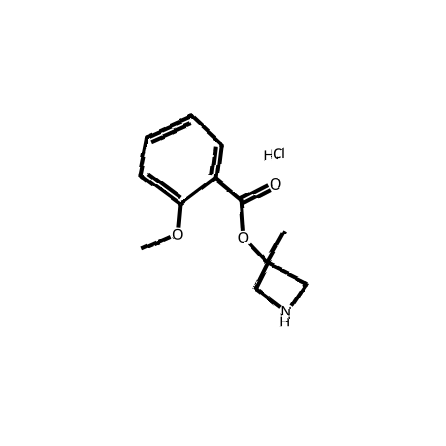 COc1ccccc1C(=O)OC1(C)CNC1.Cl